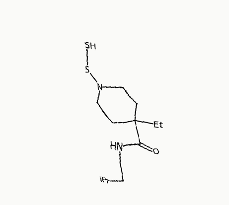 CCC1(C(=O)NCC(C)C)CCN(SS)CC1